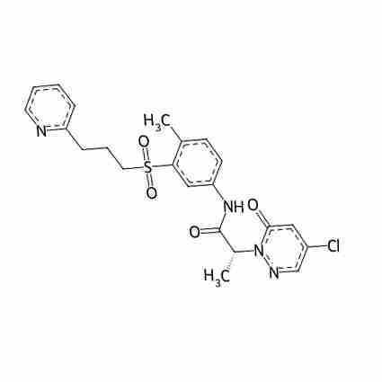 Cc1ccc(NC(=O)[C@@H](C)n2ncc(Cl)cc2=O)cc1S(=O)(=O)CCCc1ccccn1